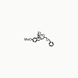 CCC1OC(COCc2ccccc2)CN(Cc2ccc(OC)cc2)S1(=O)=O